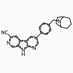 N#Cc1cc2c(cn1)[nH]c1ncc(-c3ccc(CN4C5CCCC4CC5)cc3)cc12